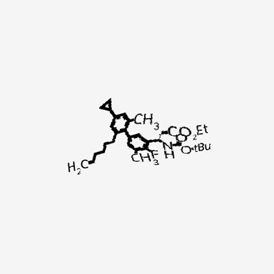 C=CCCCCc1cc(C2CC2)cc(C)c1-c1cc(C)c(F)c([C@H](CC(=O)OCC)NC(=O)OC(C)(C)C)c1